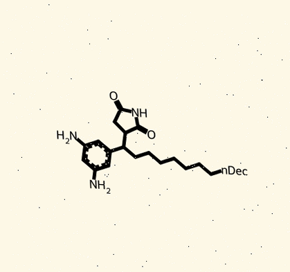 CCCCCCCCCCCCCCCCCC(c1cc(N)cc(N)c1)C1CC(=O)NC1=O